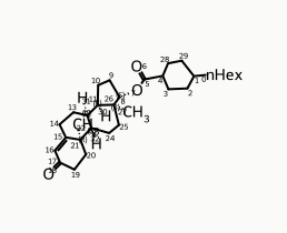 CCCCCCC1CCC(C(=O)O[C@H]2CC[C@@H]3[C@@H]4CCC5=CC(=O)CC[C@]5(C)[C@H]4CC[C@]23C)CC1